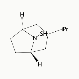 CC(C)C1C[C@@H]2CC[C@@H](C1)N2S